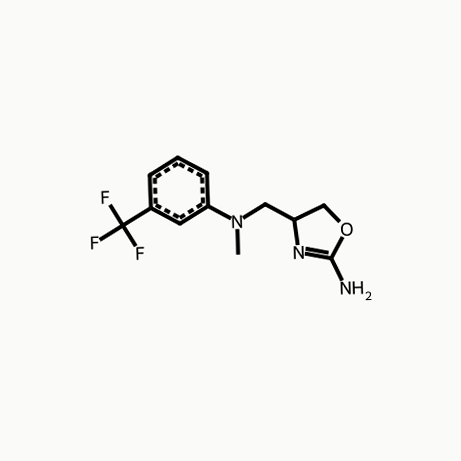 CN(CC1COC(N)=N1)c1cccc(C(F)(F)F)c1